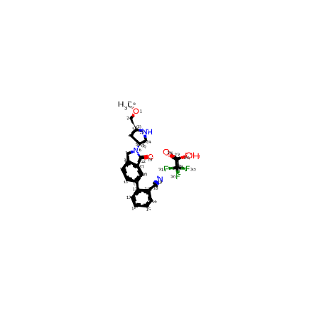 COC[C@@H]1C[C@@H](N2Cc3ccc(-c4ccccc4C#N)cc3C2=O)CN1.O=C(O)C(F)(F)F